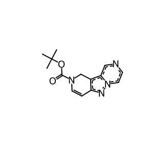 CC(C)(C)OC(=O)N1C=Cc2nn3ccncc3c2C1